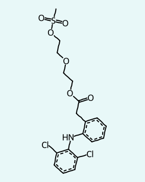 CS(=O)(=O)OCCOCCOC(=O)Cc1ccccc1Nc1c(Cl)cccc1Cl